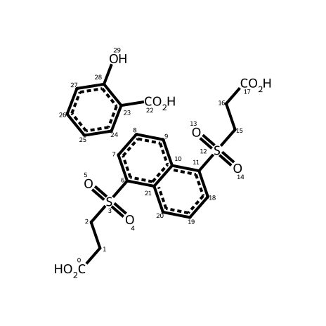 O=C(O)CCS(=O)(=O)c1cccc2c(S(=O)(=O)CCC(=O)O)cccc12.O=C(O)c1ccccc1O